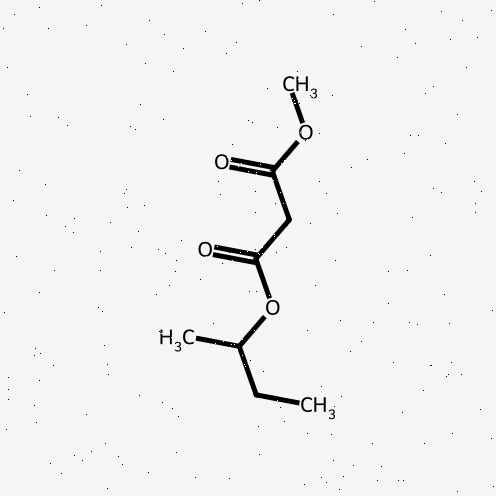 CCC(C)OC(=O)CC(=O)OC